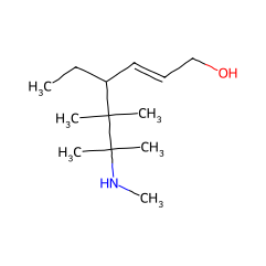 CCC(C=CCO)C(C)(C)C(C)(C)NC